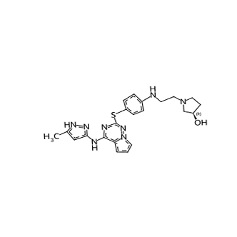 Cc1cc(Nc2nc(Sc3ccc(NCCN4CC[C@@H](O)C4)cc3)nn3cccc23)n[nH]1